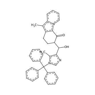 Cc1c2c(n3ccccc13)C(=O)C(C(O)c1ncn(C(c3ccccc3)(c3ccccc3)c3ccccc3)c1C)CC2